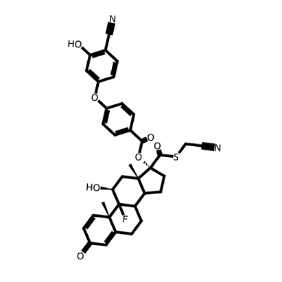 C[C@]12C=CC(=O)C=C1CCC1C3CC[C@](OC(=O)c4ccc(Oc5ccc(C#N)c(O)c5)cc4)(C(=O)SCC#N)[C@@]3(C)C[C@H](O)C12F